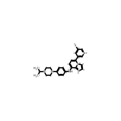 CC(C)N1CCN(c2ccc(Nc3ccc(-c4cncc(F)c4)n4ccnc34)cc2)CC1